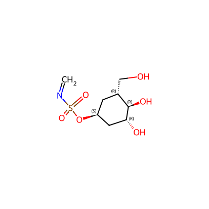 C=NS(=O)(=O)O[C@H]1C[C@H](CO)[C@@H](O)[C@H](O)C1